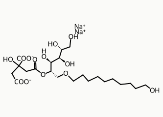 O=C([O-])CC(O)(CC(=O)O[C@@H](COCCCCCCCCCCO)[C@@H](O)[C@H](O)[C@H](O)CO)C(=O)[O-].[Na+].[Na+]